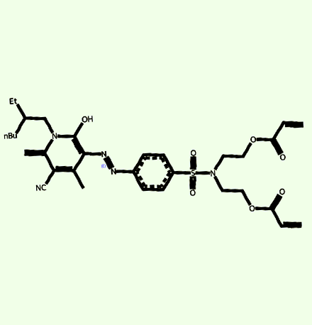 C=CC(=O)OCCN(CCOC(=O)C=C)S(=O)(=O)c1ccc(/N=N/C2=C(O)N(CC(CC)CCCC)C(=C)C(C#N)=C2C)cc1